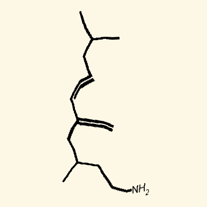 C=C(/C=C/CC(C)C)CC(C)CCN